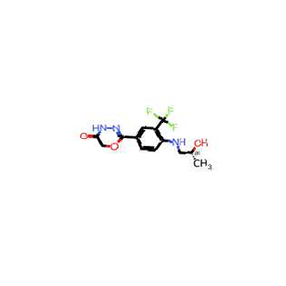 C[C@@H](O)CNc1ccc(C2=NNC(=O)CO2)cc1C(F)(F)F